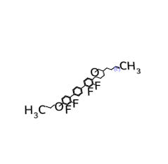 C/C=C/CCC1CCC(c2ccc(-c3ccc(-c4ccc(OCCCC)c(F)c4F)cc3)c(F)c2F)OC1